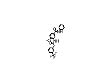 COc1ccc(C(=O)Nc2ccccc2)cc1NC(=O)Cc1cccc(C(F)(F)F)c1